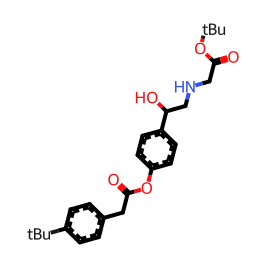 CC(C)(C)OC(=O)CNCC(O)c1ccc(OC(=O)Cc2ccc(C(C)(C)C)cc2)cc1